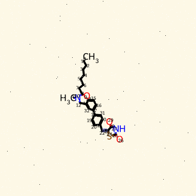 CCCCCCCCC(=O)N(C)Cc1cccc(-c2ccc(/C=C3/SC(=O)NC3=O)cc2)c1